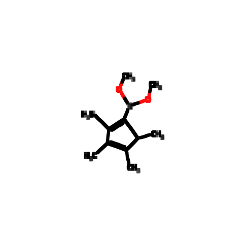 C[O][Ti]([O]C)[C]1=C([SiH3])C(C)=C(C)C1C